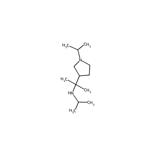 CC(C)NC(C)(C)C1CCN(C(C)C)C1